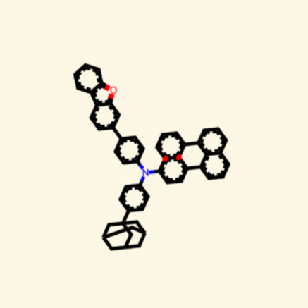 c1ccc(-c2cccc3cccc(-c4ccc(N(c5ccc(-c6ccc7c(c6)oc6ccccc67)cc5)c5ccc(C67CC8CC(CC(C8)C6)C7)cc5)cc4)c23)cc1